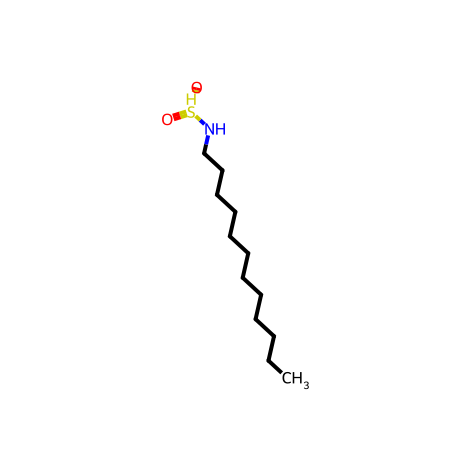 CCCCCCCCCCCCN[SH](=O)=O